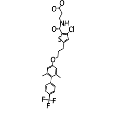 COC(=O)CCNC(=O)c1sc(CCCOc2cc(C)c(-c3ccc(C(F)(F)F)cc3)c(C)c2)cc1Cl